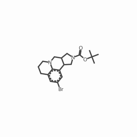 CC(C)(C)OC(=O)N1CC2CN3CCCc4cc(Br)cc(c43)C2C1